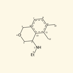 CCNC1COCc2ccc(C)c(C)c21